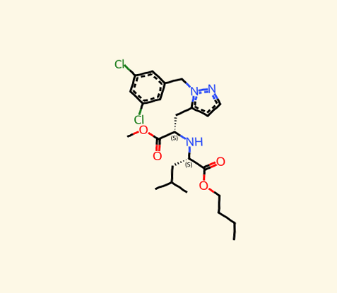 CCCCOC(=O)[C@H](CC(C)C)N[C@@H](Cc1ccnn1Cc1cc(Cl)cc(Cl)c1)C(=O)OC